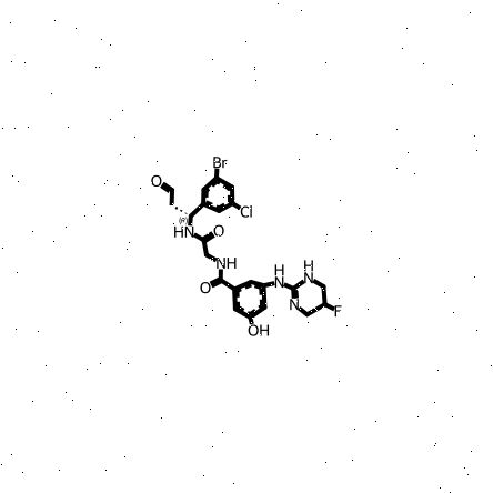 O=CC[C@@H](NC(=O)CNC(=O)c1cc(O)cc(NC2=NCC(F)CN2)c1)c1cc(Cl)cc(Br)c1